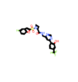 O=C(NCc1cc(-c2ccc(C(F)(F)F)cc2O)ncn1)C1CCN1S(=O)(=O)c1cc2cc(F)ccc2o1